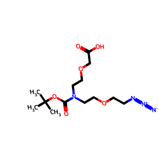 CC(C)(C)OC(=O)N(CCOCCN=[N+]=[N-])CCOCC(=O)O